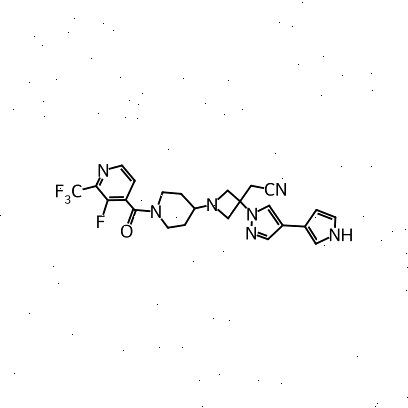 N#CCC1(n2cc(-c3cc[nH]c3)cn2)CN(C2CCN(C(=O)c3ccnc(C(F)(F)F)c3F)CC2)C1